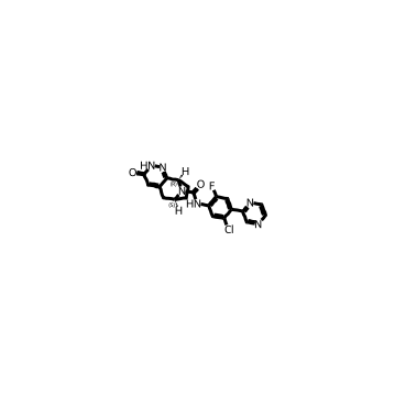 O=C(Nc1cc(Cl)c(-c2cnccn2)cc1F)N1[C@H]2CC[C@@H]1c1n[nH]c(=O)cc1C2